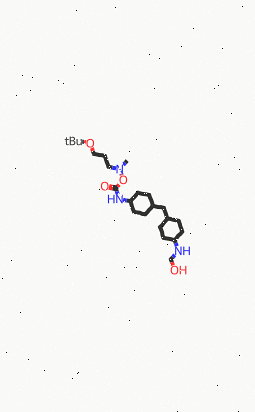 CN(CCCOC(C)(C)C)OC(=O)NC1CCC(CC2CCC(NCO)CC2)CC1